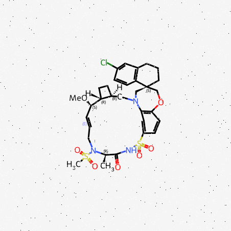 CO[C@@H]1/C=C/CN(S(C)(=O)=O)[C@H](C)C(=O)NS(=O)(=O)c2ccc3c(c2)N(C[C@@H]2CC[C@H]21)C[C@@]1(CCCc2cc(Cl)ccc21)CO3